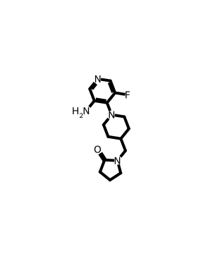 Nc1cncc(F)c1N1CCC(CN2CCCC2=O)CC1